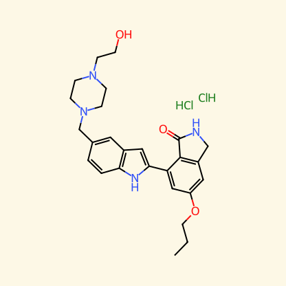 CCCOc1cc2c(c(-c3cc4cc(CN5CCN(CCO)CC5)ccc4[nH]3)c1)C(=O)NC2.Cl.Cl